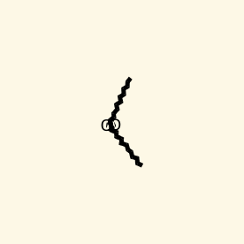 CCCCCCCCCCCCS(=O)(=O)CCCCCCCCCCCC